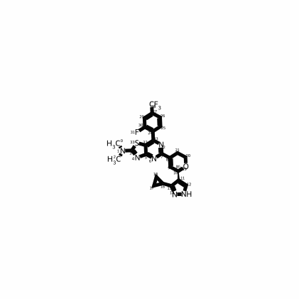 CN(C)c1nc2nc(C3=C[C@H](c4c[nH]nc4C4CC4)OCC3)nc(-c3ccc(C(F)(F)F)cc3F)c2s1